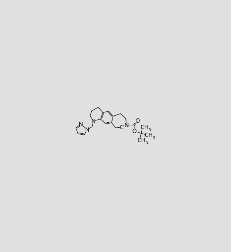 CC(C)(C)OC(=O)N1CCc2cc3c(cc2CC1)N(Cn1cccn1)CCC3